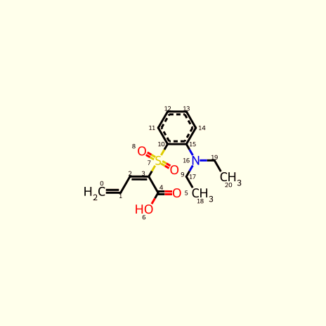 C=CC=C(C(=O)O)S(=O)(=O)c1ccccc1N(CC)CC